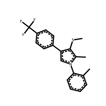 CSc1c(-c2ccc(C(F)(F)F)cc2)cn(-c2ccccc2C)c1C